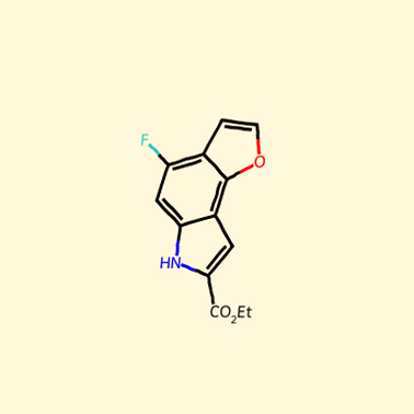 CCOC(=O)c1cc2c(cc(F)c3ccoc32)[nH]1